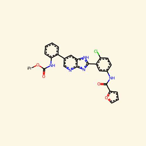 CC(C)OC(=O)Nc1ccccc1-c1cnc2nc(-c3cc(NC(=O)c4ccco4)ccc3Cl)[nH]c2c1